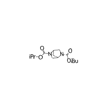 CC(C)COC(=O)N1CC2CC1CN2C(=O)OC(C)C